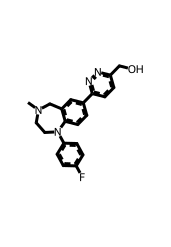 CN1CCN(c2ccc(F)cc2)c2ccc(-c3ccc(CO)nn3)cc2C1